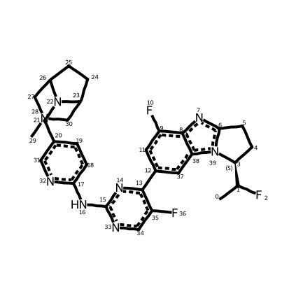 CC(F)[C@@H]1CCc2nc3c(F)cc(-c4nc(Nc5ccc(CN6C7CCC6CN(C)C7)cn5)ncc4F)cc3n21